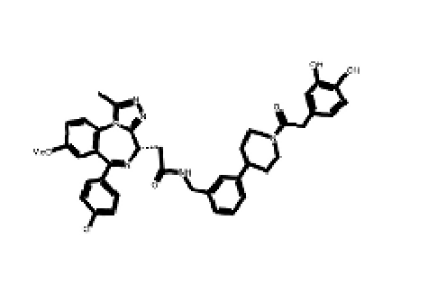 COc1ccc2c(c1)C(c1ccc(Cl)cc1)=N[C@@H](CC(=O)NCc1cccc(C3CCN(C(=O)Cc4ccc(O)c(O)c4)CC3)c1)c1nnc(C)n1-2